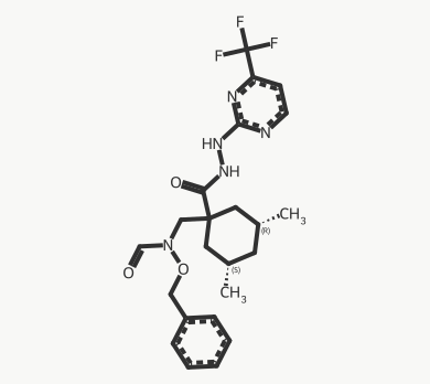 C[C@@H]1C[C@H](C)CC(CN(C=O)OCc2ccccc2)(C(=O)NNc2nccc(C(F)(F)F)n2)C1